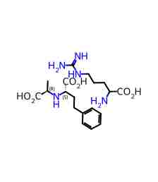 C[C@@H](N[C@@H](CCc1ccccc1)C(=O)O)C(=O)O.N=C(N)NCCCC(N)C(=O)O